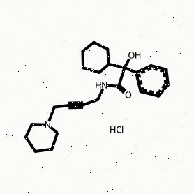 Cl.O=C(NCC#CCN1CCCCC1)C(O)(c1ccccc1)C1CCCCC1